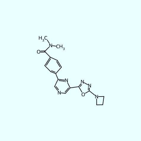 CN(C)C(=O)c1ccc(-c2cncc(-c3nnc(N4CCC4)o3)n2)cc1